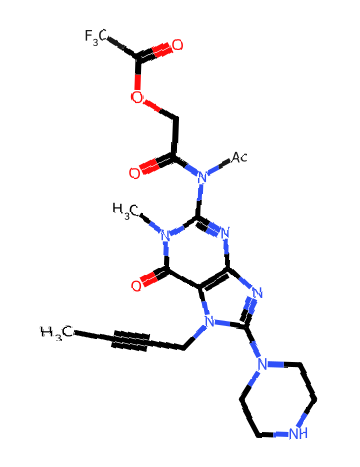 CC#CCn1c(N2CCNCC2)nc2nc(N(C(C)=O)C(=O)COC(=O)C(F)(F)F)n(C)c(=O)c21